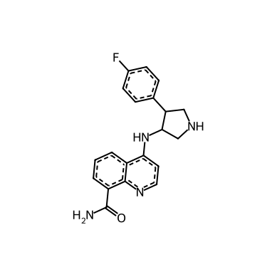 NC(=O)c1cccc2c(NC3CNCC3c3ccc(F)cc3)ccnc12